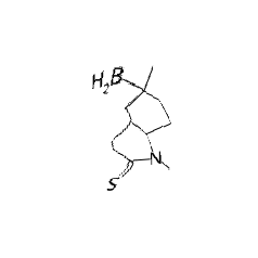 BC1(C)CCC2C(CC(=S)N2C)C1